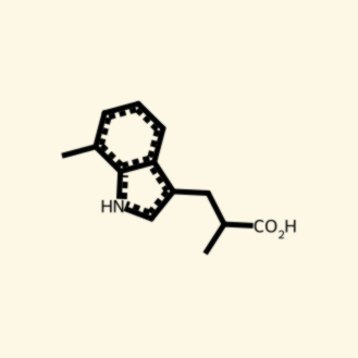 Cc1cccc2c(CC(C)C(=O)O)c[nH]c12